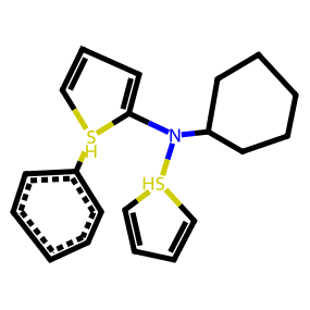 C1=C[SH](c2ccccc2)C(N(C2CCCCC2)[SH]2C=CC=C2)=C1